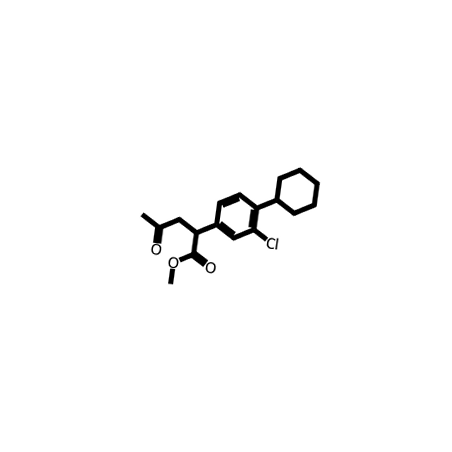 COC(=O)C(CC(C)=O)c1ccc(C2CCCCC2)c(Cl)c1